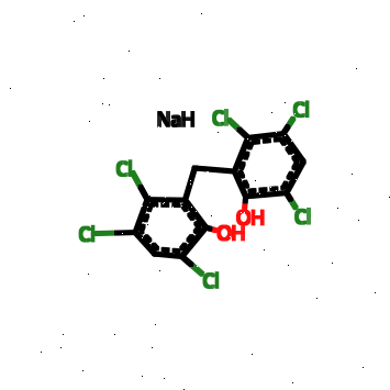 Oc1c(Cl)cc(Cl)c(Cl)c1Cc1c(O)c(Cl)cc(Cl)c1Cl.[NaH]